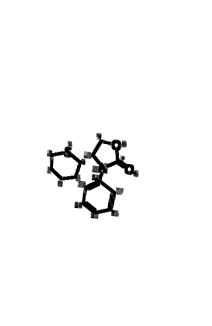 C1CCSCC1.O=C1OCCN1c1ccccc1